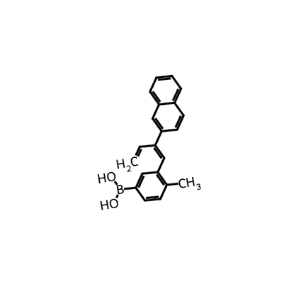 C=C/C(=C\c1cc(B(O)O)ccc1C)c1ccc2ccccc2c1